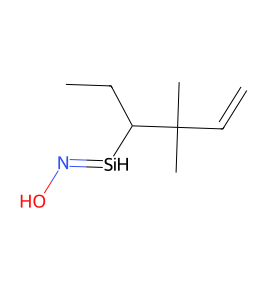 C=CC(C)(C)C(CC)[SiH]=NO